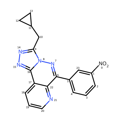 O=[N+]([O-])c1cccc(-c2nn3c(CC4CC4)nnc3c3cccnc23)c1